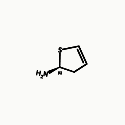 N[C@@H]1CC=CS1